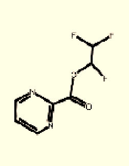 O=C(OC(F)C(F)F)c1ncccn1